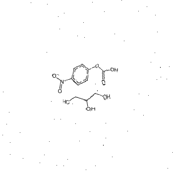 O=C(O)Oc1ccc([N+](=O)[O-])cc1.OCC(O)CO